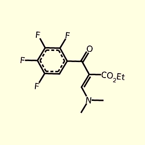 CCOC(=O)C(=CN(C)C)C(=O)c1cc(F)c(F)c(F)c1F